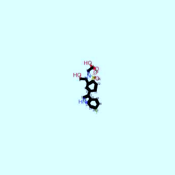 O=C(O)CN1C(CO)c2cc(-c3c[nH]c4cc(F)ccc34)ccc2S1(=O)=O